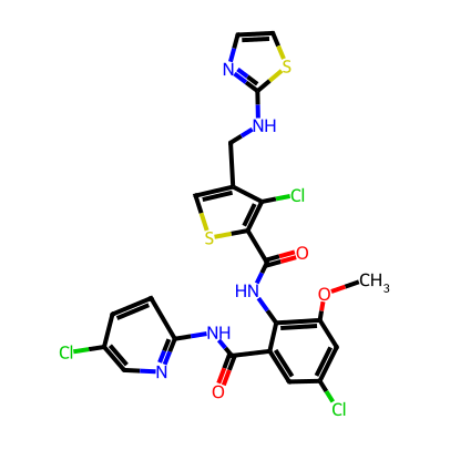 COc1cc(Cl)cc(C(=O)Nc2ccc(Cl)cn2)c1NC(=O)c1scc(CNc2nccs2)c1Cl